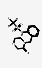 O=C1COCCN1Cc1ccccc1NS(=O)(=O)C(F)(F)F